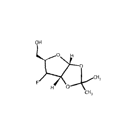 CC1(C)O[C@H]2O[C@H](CO)C(F)[C@H]2O1